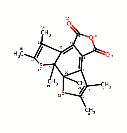 CC1=C(C)C2=C3C(=O)OC(=O)C3=C3C(C)=C(C)SC3(C)C2(C)S1